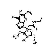 CCNC(=O)C[C@@]1(n2cnc3c(=O)[nH]c(N)nc32)O[C@H](CO)[C@@H](O)[C@H]1ON